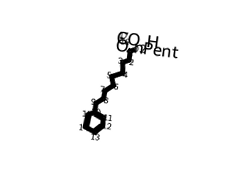 CCCCCC(CCCCCCCCc1ccccc1)OC(=O)O